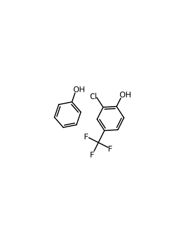 Oc1ccc(C(F)(F)F)cc1Cl.Oc1ccccc1